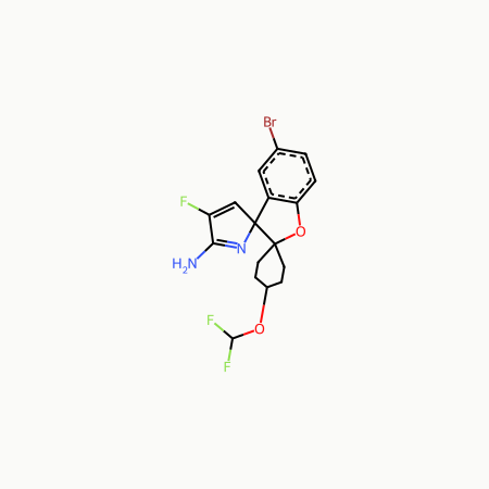 NC1=NC2(C=C1F)c1cc(Br)ccc1OC21CCC(OC(F)F)CC1